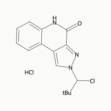 CC(C)(C)C(Cl)n1cc2c(n1)c(=O)[nH]c1ccccc12.Cl